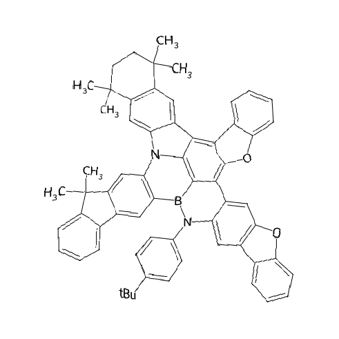 CC(C)(C)c1ccc(N2B3c4cc5c(cc4-n4c6cc7c(cc6c6c8c(oc9ccccc98)c(c3c64)-c3cc4oc6ccccc6c4cc32)C(C)(C)CCC7(C)C)C(C)(C)c2ccccc2-5)cc1